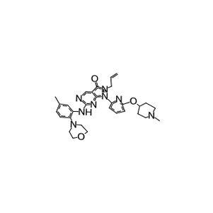 C=CCn1c(=O)c2cnc(Nc3cc(C)ccc3N3CCOCC3)nc2n1-c1cccc(OC2CCN(C)CC2)n1